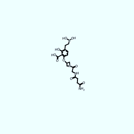 NC(=O)CCC(=O)NCC(=O)N1CC(Oc2ccc(CCB(O)O)c(O)c2C(=O)O)C1